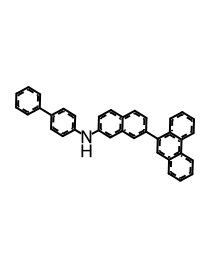 c1ccc(-c2ccc(Nc3ccc4ccc(-c5cc6ccccc6c6ccccc56)cc4c3)cc2)cc1